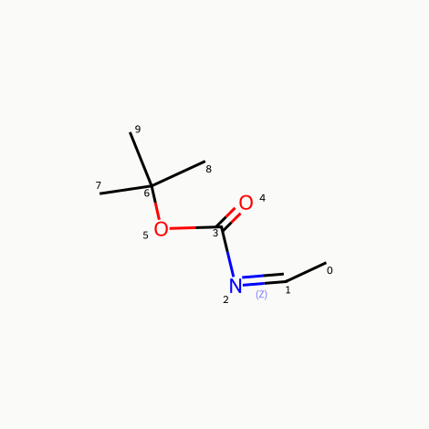 C/C=N\C(=O)OC(C)(C)C